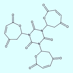 O=C1C=CC(=O)OC(n2c(=O)n(C3CC(=O)C=CC(=O)O3)c(=O)n(C3CC(=O)C=CC(=O)O3)c2=O)C1